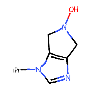 CC(C)n1cnc2c1CN(O)C2